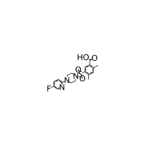 Cc1cc(C)c(S(=O)(=O)N2CCN(c3ccc(F)cn3)CC2)cc1C(=O)O